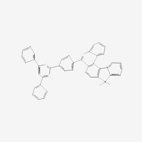 CC1(C)c2ccccc2-c2c1ccc1c(-c3ccc(-c4nc(-c5ccccc5)cc(-c5ccccc5)n4)cc3)nc3ccccc3c21